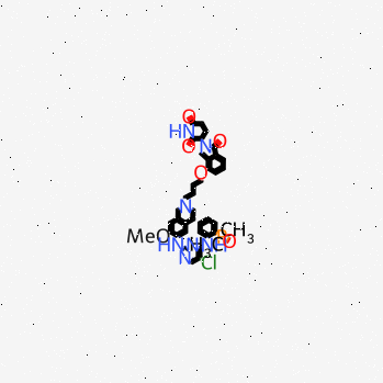 COc1cc2c(cc1Nc1ncc(Cl)c(Nc3ccccc3P(C)(C)=O)n1)CCN(CCCCOc1cccc3c1CN(C1CCC(=O)NC1=O)C3=O)C2